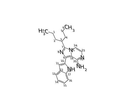 CCCC(CCC)c1nc(-c2cc3ccccc3[nH]2)c2c(N)nccn12